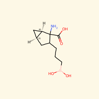 NC1(C(=O)O)C(CCCB(O)O)C[C@H]2C[C@H]21